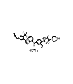 CCc1cc(Nc2nccn3c(-c4cn(CC#N)nc4C(F)(F)F)cnc23)ccc1C(=O)NC(C)C(=O)N1CCNCC1.O=CO